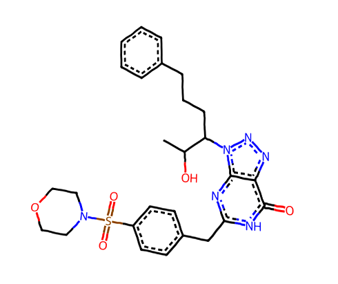 CC(O)C(CCCc1ccccc1)n1nnc2c(=O)[nH]c(Cc3ccc(S(=O)(=O)N4CCOCC4)cc3)nc21